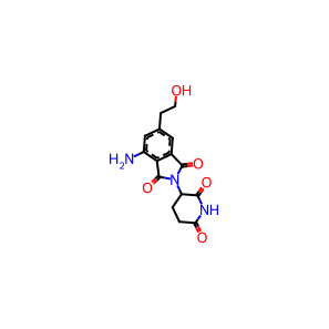 Nc1cc(CCO)cc2c1C(=O)N(C1CCC(=O)NC1=O)C2=O